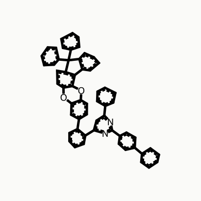 c1ccc(-c2ccc(-c3nc(-c4ccccc4)cc(-c4ccccc4-c4ccc5c(c4)Oc4ccc6c(c4O5)-c4ccccc4C6(c4ccccc4)c4ccccc4)n3)cc2)cc1